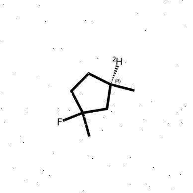 [2H][C@@]1(C)CCC(C)(F)C1